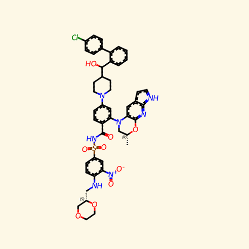 C[C@@H]1CN(c2cc(N3CCC(C(O)c4ccccc4-c4ccc(Cl)cc4)CC3)ccc2C(=O)NS(=O)(=O)c2ccc(NC[C@H]3COCCO3)c([N+](=O)[O-])c2)c2cc3cc[nH]c3nc2O1